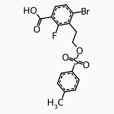 Cc1ccc(S(=O)(=O)OCCc2c(Br)ccc(C(=O)O)c2F)cc1